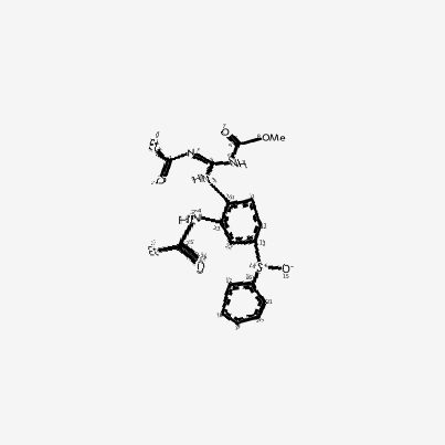 CCC(=O)N=C(NC(=O)OC)Nc1ccc([S+]([O-])c2ccccc2)cc1NC(=O)CC